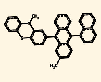 Cc1ccc2c(-c3cccc4ccccc34)c3ccccc3c(-c3ccc4c(c3)N(C)c3ccccc3S4)c2c1